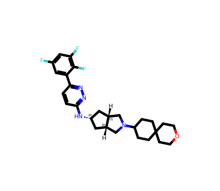 Fc1cc(F)c(F)c(-c2ccc(N[C@@H]3C[C@@H]4CN(C5CCC6(CCOCC6)CC5)C[C@@H]4C3)nn2)c1